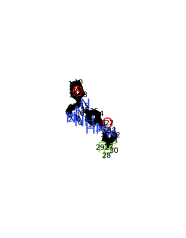 Nc1nccc2c(C3=CC4CCC(C3)O4)nc(-c3ccc(C(=O)Nc4cc(C(F)(F)F)ccn4)cc3)n12